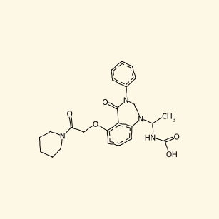 CC(NC(=O)O)N1CN(c2ccccc2)C(=O)c2c(OCC(=O)N3CCCCC3)cccc21